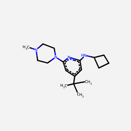 CN1CCN(c2cc(C(C)(C)C)cc(NC3CCC3)n2)CC1